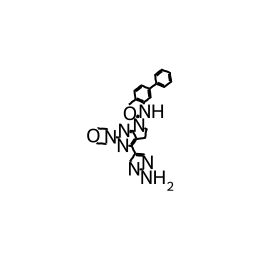 Cc1ccc(-c2ccccc2)cc1NC(=O)N1CCc2c(-c3cnc(N)nc3)nc(N3CCOCC3)nc21